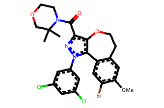 COc1cc2c(cc1Br)-c1c(c(C(=O)N3CCOCC3(C)C)nn1-c1cc(Cl)cc(Cl)c1)OCC2